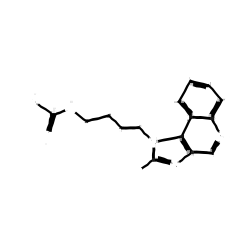 CCc1nc2cnc3ccccc3c2n1CCCCOC(N)=O